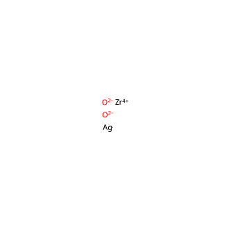 [Ag].[O-2].[O-2].[Zr+4]